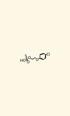 O=S(O)(=S)OCCOc1ccc(Cl)cc1